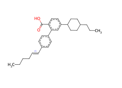 CCCC/C=C/c1ccc(-c2cc(C3CCC(CCC)CC3)ccc2C(=O)O)cc1